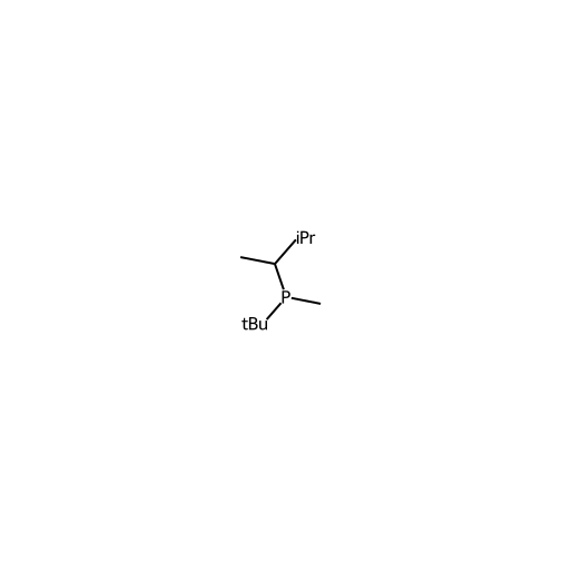 CC(C)C(C)P(C)C(C)(C)C